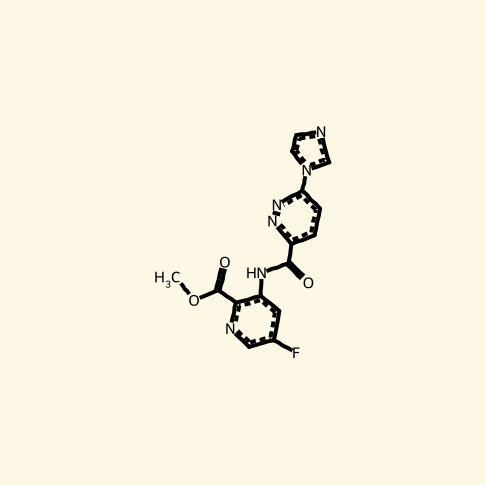 COC(=O)c1ncc(F)cc1NC(=O)c1ccc(-n2ccnc2)nn1